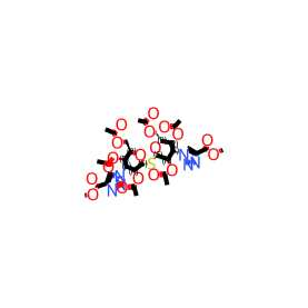 COC(=O)c1cn([C@H]2[C@@H](OC(C)=O)[C@@H](COC(C)=O)O[C@@H](S[C@@H]3O[C@H](COC(C)=O)[C@H](OC(C)=O)[C@H](n4cc(C(=O)OC)nn4)[C@H]3OC(C)=O)[C@@H]2OC(C)=O)nn1